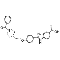 O=C(O)c1ccc2[nH]c(-c3ccc(OCCC4CCN(C(=O)c5ccccc5)CC4)cc3)nc2c1